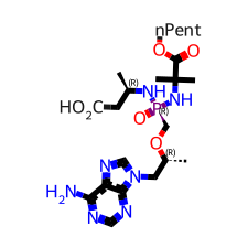 CCCCCOC(=O)C(C)(C)N[P@@](=O)(CO[C@H](C)Cn1cnc2c(N)ncnc21)N[C@H](C)CC(=O)O